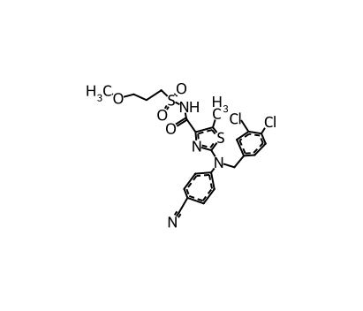 COCCCS(=O)(=O)NC(=O)c1nc(N(Cc2ccc(Cl)c(Cl)c2)c2ccc(C#N)cc2)sc1C